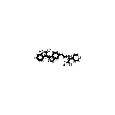 COC(=O)C(NCCc1ccc2c(c1)CO/C2=C1/C(=O)Nc2ccccc21)C1CCOCC1